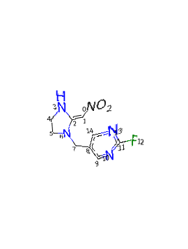 O=[N+]([O-])/C=C1\NCCN1Cc1cnc(F)nc1